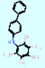 Bc1c(B)c(B)c(Nc2ccc(-c3ccccc3)cc2)c(B)c1B